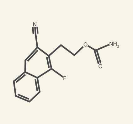 N#Cc1cc2ccccc2c(F)c1CCOC(N)=O